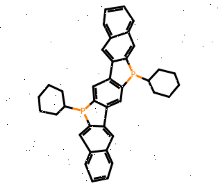 c1ccc2cc3c(cc2c1)c1cc2c(cc1p3C1CCCCC1)c1cc3ccccc3cc1p2C1CCCCC1